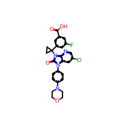 O=C(O)c1cc(F)cc(C2(n3c(=O)n(-c4ccc(N5CCOCC5)cc4)c4cc(Cl)cnc43)CC2)c1